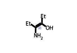 CC/C(N)=C(/O)CC